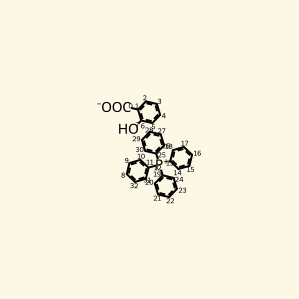 O=C([O-])c1ccccc1O.c1ccc([P+](c2ccccc2)(c2ccccc2)c2ccccc2)cc1